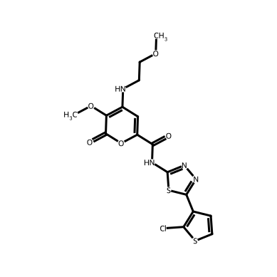 COCCNc1cc(C(=O)Nc2nnc(-c3ccsc3Cl)s2)oc(=O)c1OC